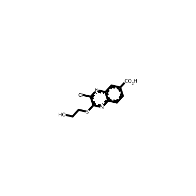 O=C(O)c1ccc2nc(SCCO)c(Cl)nc2c1